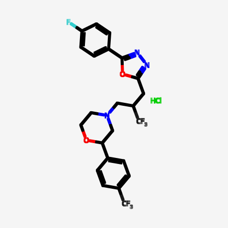 Cl.Fc1ccc(-c2nnc(CC(CN3CCOC(c4ccc(C(F)(F)F)cc4)C3)C(F)(F)F)o2)cc1